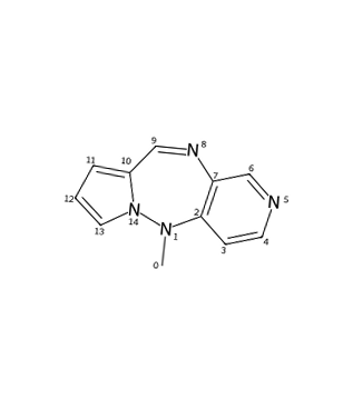 CN1c2ccncc2N=Cc2cccn21